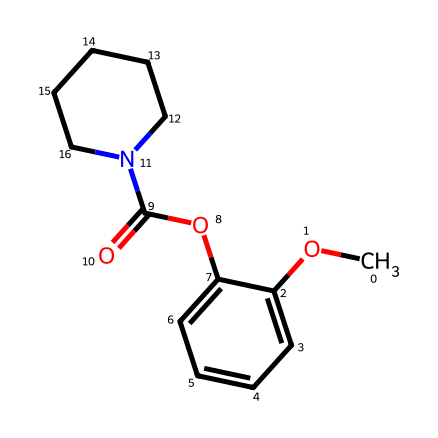 COc1ccccc1OC(=O)N1CCCCC1